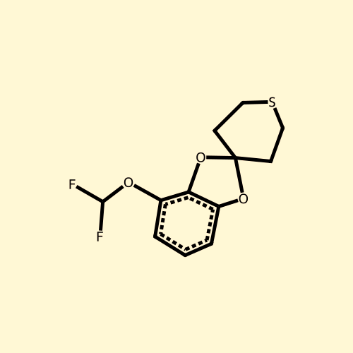 FC(F)Oc1cccc2c1OC1(CCSCC1)O2